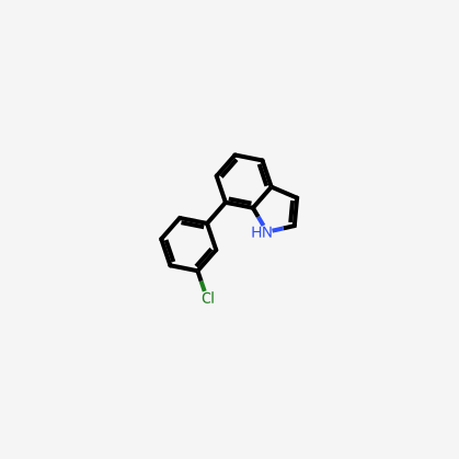 Clc1cccc(-c2cccc3cc[nH]c23)c1